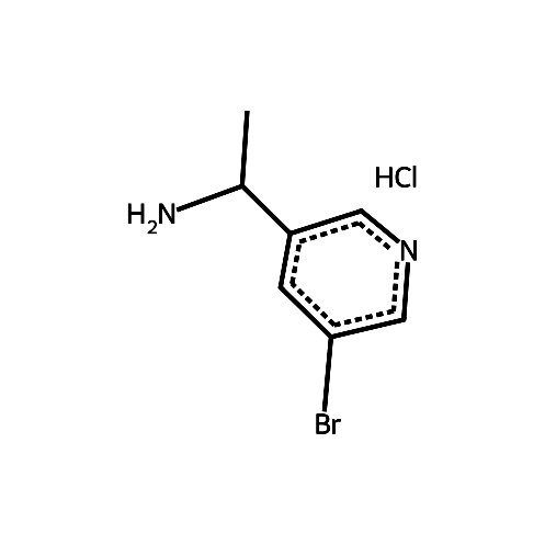 CC(N)c1cncc(Br)c1.Cl